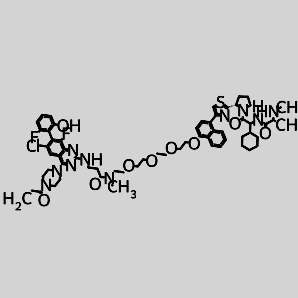 C=CC(=O)N1CCN(c2nc(NCCC(=O)N(C)CCOCCOCCOCCOc3ccc(-c4csc([C@@H]5CCCN5C(=O)C(NC(=O)[C@H](C)NC)C5CCCCC5)n4)c4ccccc34)nc3c(F)c(-c4c(O)cccc4F)c(Cl)cc23)CC1